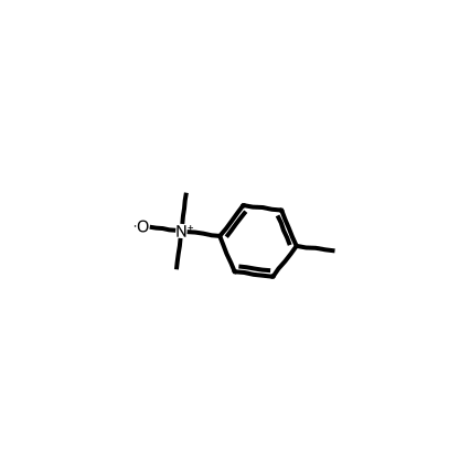 Cc1ccc([N+](C)(C)[O])cc1